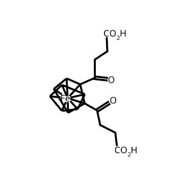 O=C(O)CCC(=O)[C]12[CH]3[CH]4[CH]5[C]1(C(=O)CCC(=O)O)[Fe]43521678[CH]2[CH]1[CH]6[CH]7[CH]28